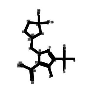 Cc1c(C(C)(F)F)nn(C[C@H]2CCC(F)(F)C2)c1C(=O)O